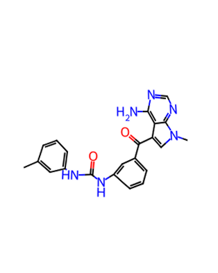 Cc1cccc(NC(=O)Nc2cccc(C(=O)c3cn(C)c4ncnc(N)c34)c2)c1